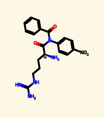 N=C(N)NCCC[C@H](N)C(=O)N(C(=O)c1ccccc1)c1ccc([N+](=O)[O-])cc1